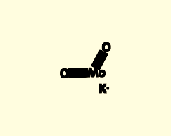 [K].[O]=[Mo]=[O]